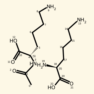 CC(=O)N[C@@H](CCCCN)C(=O)O.NCCCC[C@H](N)C(=O)O